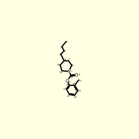 CCCCC1CCN(C(=O)Oc2ccccc2C)CC1